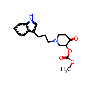 COC(=O)OC1CN(CCCc2c[nH]c3ccccc23)CCC1=O